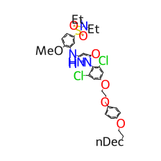 CCCCCCCCCCCCOc1ccc(OCCOc2cc(Cl)c(-n3[nH]c(Nc4cc(S(=O)(=O)N(CC)CC)ccc4OC)cc3=O)c(Cl)c2)cc1